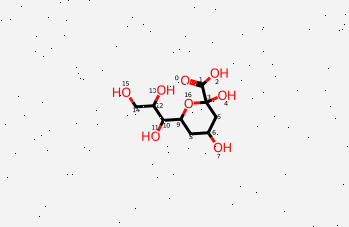 O=C(O)C1(O)CC(O)CC(C(O)C(O)CO)O1